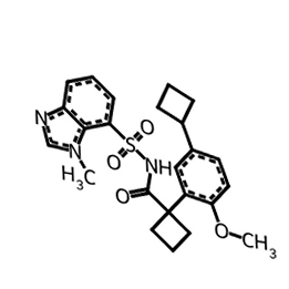 COc1ccc(C2CCC2)cc1C1(C(=O)NS(=O)(=O)c2cccc3ncn(C)c23)CCC1